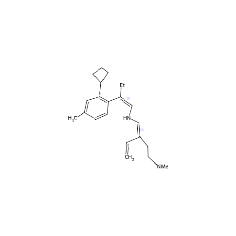 C=C/C(=C\N/C=C(/CC)c1ccc(C)cc1C1CCC1)CCNC